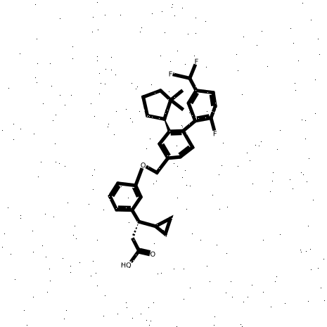 CC1(C)CCC[C@@H]1c1cc(COc2cccc([C@@H](CC(=O)O)C3CC3)c2)ccc1-c1cc(C(F)F)ccc1F